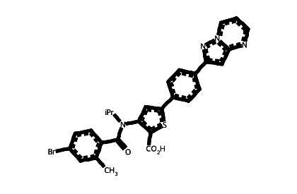 Cc1cc(Br)ccc1C(=O)N(c1cc(-c2ccc(-c3cc4ncccn4n3)cc2)sc1C(=O)O)C(C)C